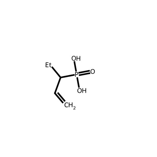 C=CC(CC)P(=O)(O)O